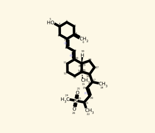 C=C1CCC(O)C/C1=C/C=C1\CCC[C@]2(C)C(C(C)/C=C/C(C)S(C)(=O)=O)CC[C@@H]12